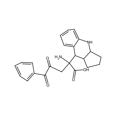 NC(CC(=O)C(=O)c1ccccc1)(C(=O)O)C1c2ccccc2NC2CCCC21